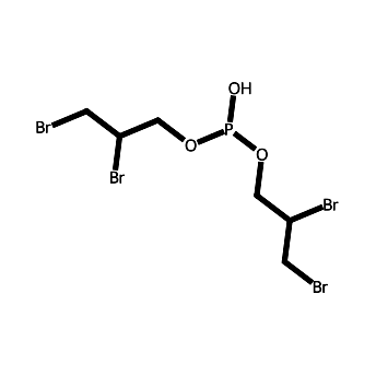 OP(OCC(Br)CBr)OCC(Br)CBr